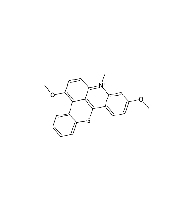 COc1ccc2c3c4c(c(OC)ccc4[n+](C)c2c1)-c1ccccc1S3